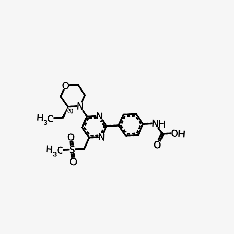 CC[C@H]1COCCN1c1cc(CS(C)(=O)=O)nc(-c2ccc(NC(=O)O)cc2)n1